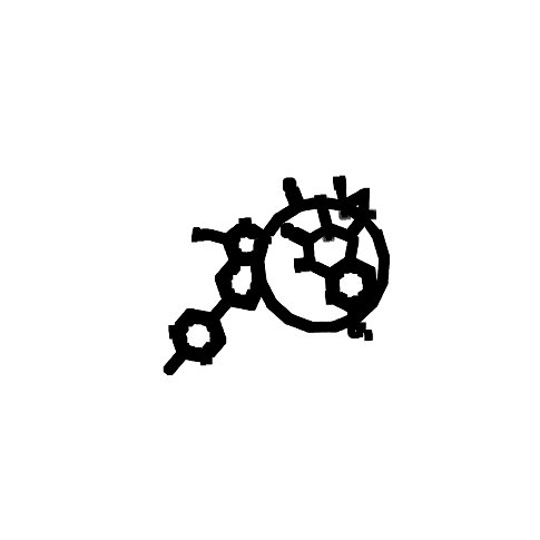 CC(=O)c1nn2c3c(cc(-c4cnc(C)nc4)cc13)CCCCCCCCC[C@@]13C[C@@H](C(=O)Nc4nc(C(F)(F)F)ccc4C)N(C(=O)C2)[C@@H]1C3